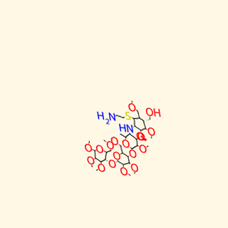 COCC1C(SCCN)[C@@H](N[C@H]2C(C)O[C@@H](O[C@H]3C(COC)O[C@@H](O[C@H]4C(COC)OC(OC)C(OC)[C@@H]4OC)C(OC)[C@@H]3OC)C(OC)[C@@H]2OC)C(OC)[C@H](OC)[C@H]1CO